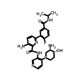 CC(C)NC(=O)c1ccc(F)c(-c2ccc(N)c(C(=O)Nc3cnccc3N3CC[C@@H](O)[C@H](N)C3)n2)c1